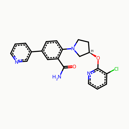 NC(=O)c1cc(-c2cccnc2)ccc1N1CC[C@@H](Oc2ncccc2Cl)C1